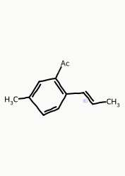 C/C=C/c1ccc(C)cc1C(C)=O